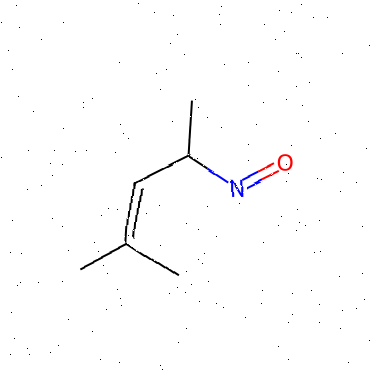 CC(C)=CC(C)N=O